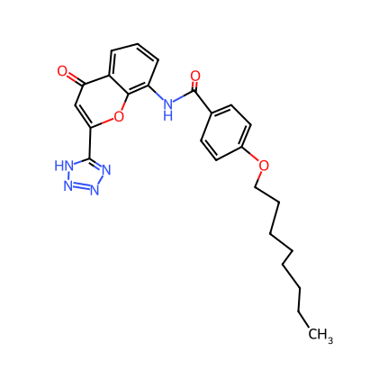 CCCCCCCCOc1ccc(C(=O)Nc2cccc3c(=O)cc(-c4nnn[nH]4)oc23)cc1